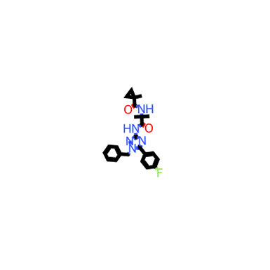 CC1(C(=O)NC(C)(C)C(=O)Nc2nc(-c3ccc(F)cc3)n(Cc3ccccc3)n2)CC1